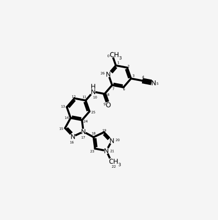 Cc1cc(C#N)cc(C(=O)Nc2ccc3cnn(-c4cnn(C)c4)c3c2)n1